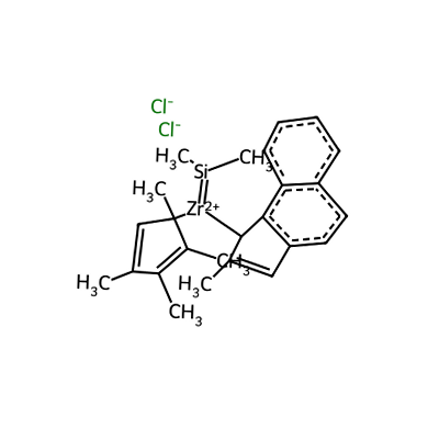 CC1=C[C](C)([Zr+2]([CH]2C(C)=Cc3ccc4ccccc4c32)=[Si](C)C)C(C)=C1C.[Cl-].[Cl-]